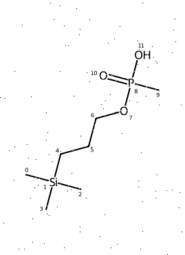 C[Si](C)(C)CCCOP(C)(=O)O